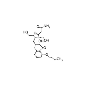 CCCCOc1cccc2c1C(=O)C[C@H](C[C@@H](CCO)[C@](O)(CO)C(=O)CC(N)=O)C2